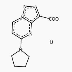 O=C([O-])c1cnn2ccc(N3CCCC3)nc12.[Li+]